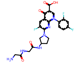 NCC(=O)NCC(=O)NC1CCN(c2nc3c(cc2F)c(=O)c(C(=O)O)cn3-c2ccc(F)cc2F)C1